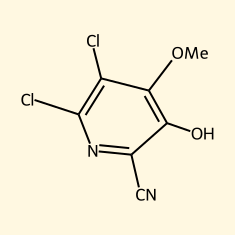 COc1c(O)c(C#N)nc(Cl)c1Cl